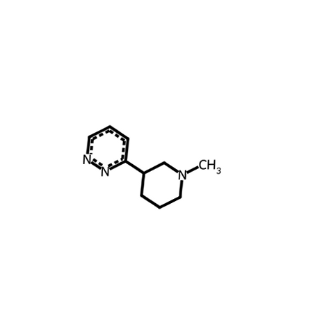 CN1CCCC(c2cccnn2)C1